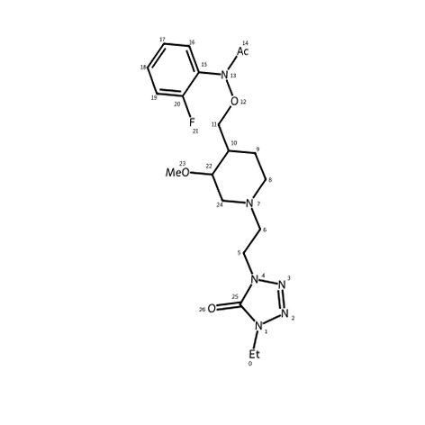 CCn1nnn(CCN2CCC(CON(C(C)=O)c3ccccc3F)C(OC)C2)c1=O